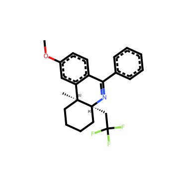 COc1ccc2c(c1)[C@]1(C)CCCC[C@]1(CC(F)(F)F)N=C2c1ccccc1